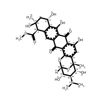 COC(=O)[C@@H]1c2cc3c(c(O)c2[C@@H](O)C[C@]1(C)O)C(=O)c1c(O)cc2c(c1C3=O)O[C@@H]1O[C@@]2(C)[C@H](O)[C@@H](N(C)C)[C@@H]1O